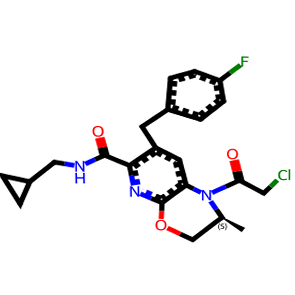 C[C@H]1COc2nc(C(=O)NCC3CC3)c(Cc3ccc(F)cc3)cc2N1C(=O)CCl